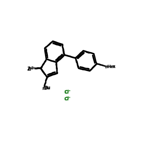 CCCCCCc1ccc(-c2cccc3c2C=C(CCCC)[CH]3[Zr+2])cc1.[Cl-].[Cl-]